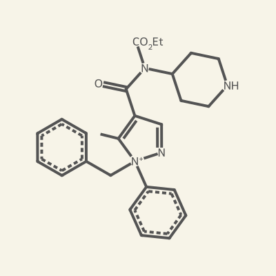 CCOC(=O)N(C(=O)C1=C(C)[N+](Cc2ccccc2)(c2ccccc2)N=C1)C1CCNCC1